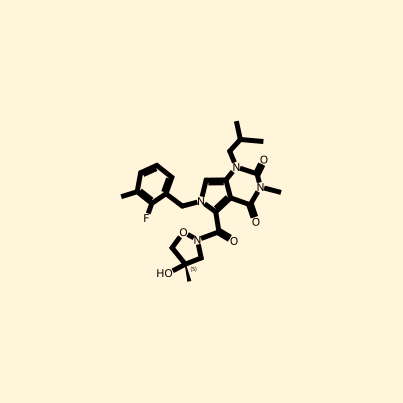 Cc1cccc(Cn2cc3c(c2C(=O)N2C[C@](C)(O)CO2)c(=O)n(C)c(=O)n3CC(C)C)c1F